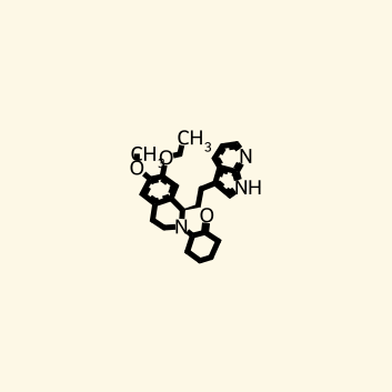 CCOc1cc2c(cc1OC)CCN(C1CCCCC1=O)[C@@H]2CCc1c[nH]c2ncccc12